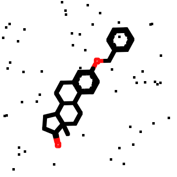 CC12CCC3c4ccc(OCc5ccccc5)cc4CCC3C1CCC2=O